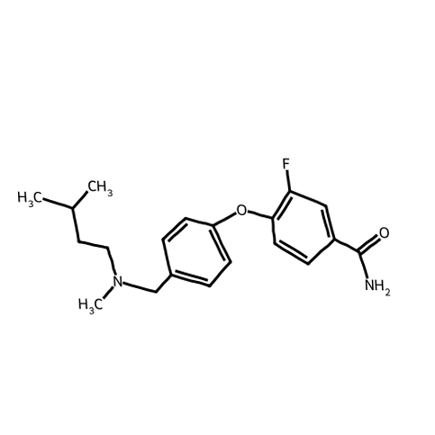 CC(C)CCN(C)Cc1ccc(Oc2ccc(C(N)=O)cc2F)cc1